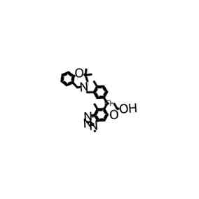 Cc1ccc([C@H](CC(=O)O)c2ccc3c(nnn3C)c2C)cc1CN1Cc2ccccc2OC(C)(C)C1